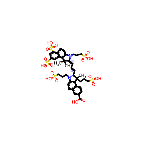 CC1(CCCS(=O)(=O)O)C(/C=C/C=C2/N(CCCS(=O)(=O)O)c3ccc4c(S(=O)(=O)O)cc(S(=O)(=O)O)cc4c3C2(C)C)=[N+](CCCS(=O)(=O)O)c2ccc3cc(C(=O)O)ccc3c21